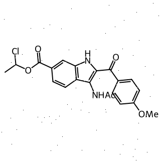 COc1ccc(C(=O)c2[nH]c3cc(C(=O)OC(C)Cl)ccc3c2NC(C)=O)cc1